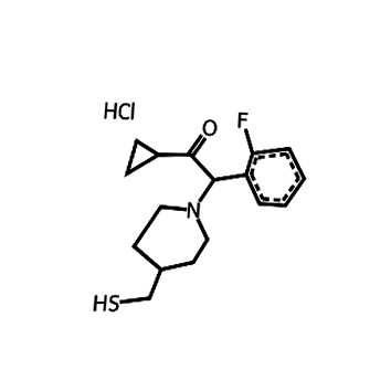 Cl.O=C(C1CC1)C(c1ccccc1F)N1CCC(CS)CC1